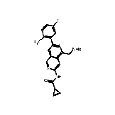 CNCc1nc(-c2cc(F)ccc2C)cc2cnc(NC(=O)C3CC3)cc12